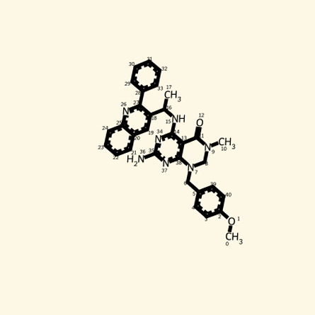 COc1ccc(CN2CN(C)C(=O)c3c(NC(C)c4cc5ccccc5nc4-c4ccccc4)nc(N)nc32)cc1